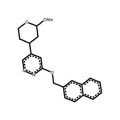 COC1CC(c2cnnc(OCc3ccc4ccccc4c3)c2)CCO1